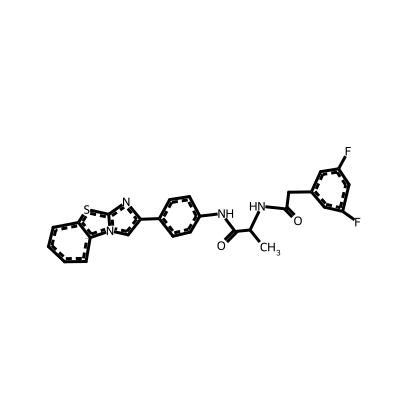 CC(NC(=O)Cc1cc(F)cc(F)c1)C(=O)Nc1ccc(-c2cn3c(n2)sc2ccccc23)cc1